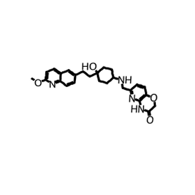 COc1ccc2cc(CCC3(O)CCC(NCc4ccc5c(n4)NC(=O)CO5)CC3)ccc2n1